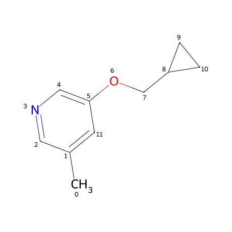 Cc1cncc(OCC2CC2)c1